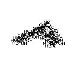 OC[C@@H](O)[C@@H](O[C@@H]1O[C@H](CO)[C@H](O)[C@H](O)[C@H]1O)[C@H](O)[C@@H](O)CO.OC[C@@H](O)[C@@H](O[C@@H]1O[C@H](CO)[C@H](O)[C@H](O)[C@H]1O)[C@H](O)[C@@H](O)CO.OC[C@@H](O)[C@@H](O[C@H]1O[C@H](CO)[C@@H](O)[C@H](O)[C@H]1O)[C@H](O)[C@@H](O)CO.OC[C@@H](O)[C@@H](O[C@H]1O[C@H](CO)[C@@H](O)[C@H](O)[C@H]1O)[C@H](O)[C@@H](O)CO.OC[C@@H](O)[C@@H](O[C@H]1O[C@H](CO)[C@@H](O)[C@H](O)[C@H]1O)[C@H](O)[C@@H](O)CO